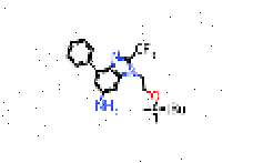 CC(C)(C)[Si](C)(C)OCCn1c(C(F)(F)F)nc2c(-c3ccccc3)cc(N)cc21